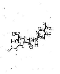 CCCCC[C@H](CN(O)C=O)C(=O)NNc1ncc(N(C)C)c(F)n1